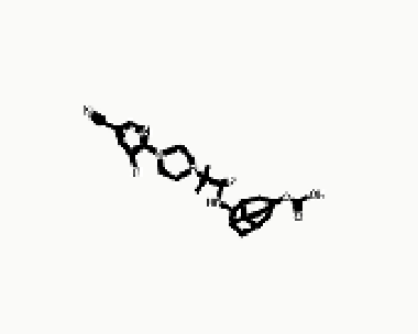 CC(C)(C(=O)NC1C2CC3CC1CC(OC(=O)O)(C3)C2)N1CCN(c2ncc(C#N)cc2Cl)CC1